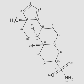 C[C@@]12C=CC=C1C1=CCC3CC(S(N)(=O)=O)CC[C@@H]3[C@H]1CC2